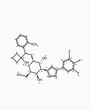 Cc1ccccc1C(S[C@@H]1O[C@H](CO)[C@H](O)[C@H](n2cc(-c3cc(F)c(F)c(F)c3)nn2)[C@H]1O)C1(O)CCC1